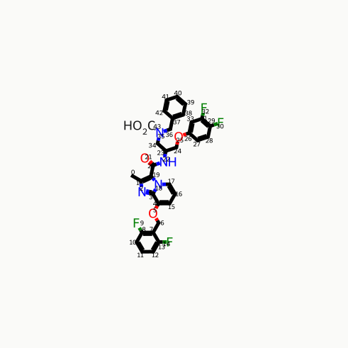 Cc1nc2c(OCc3c(F)cccc3F)cccn2c1C(=O)NC(COc1ccc(F)c(F)c1)CN(Cc1ccccc1)C(=O)O